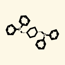 c1ccc(P(C[C@H]2CC[C@@H](CP(c3ccccc3)c3ccccc3)CC2)c2ccccc2)cc1